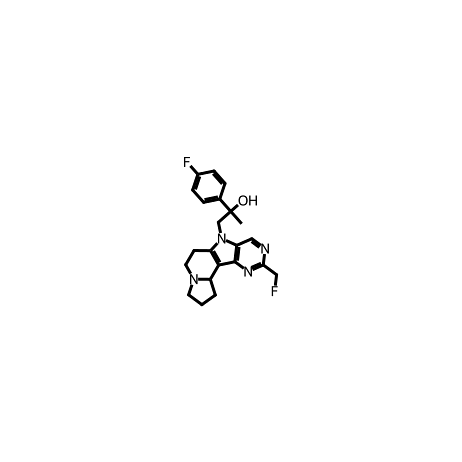 CC(O)(Cn1c2c(c3nc(CF)ncc31)C1CCCN1CC2)c1ccc(F)cc1